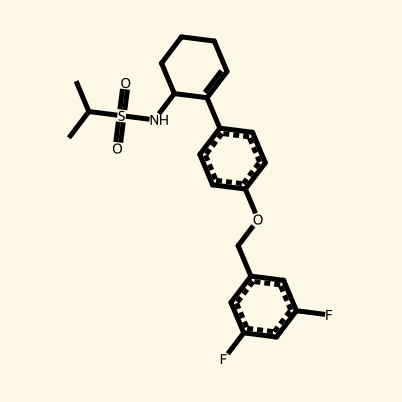 CC(C)S(=O)(=O)NC1CCCC=C1c1ccc(OCc2cc(F)cc(F)c2)cc1